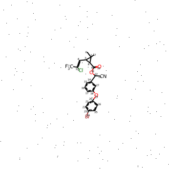 CC1(C)C(C=C(Cl)C(F)(F)F)C1C(=O)OC(C#N)c1cccc(Oc2ccc(Br)cc2)c1